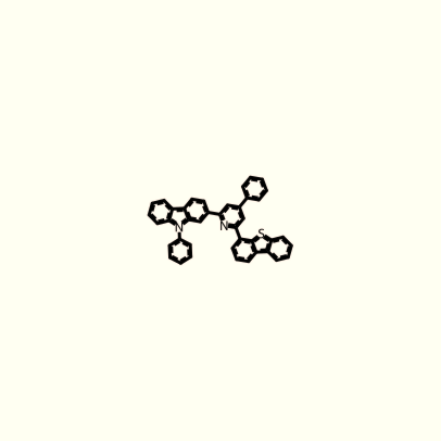 c1ccc(-c2cc(-c3ccc4c5ccccc5n(-c5ccccc5)c4c3)nc(-c3cccc4c3sc3ccccc34)c2)cc1